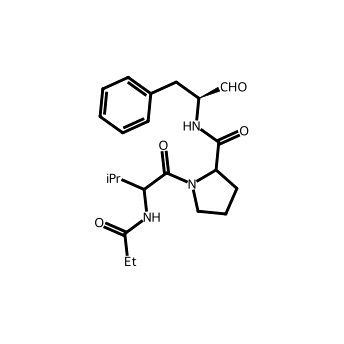 CCC(=O)NC(C(=O)N1CCCC1C(=O)N[C@H](C=O)Cc1ccccc1)C(C)C